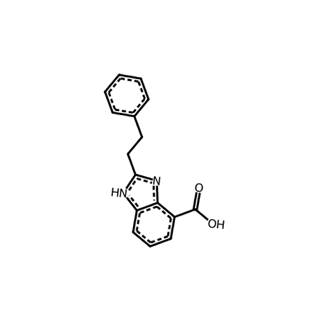 O=C(O)c1cccc2[nH]c(CCc3ccccc3)nc12